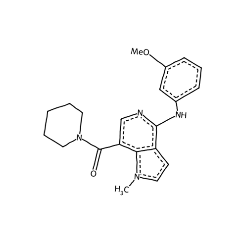 COc1cccc(Nc2ncc(C(=O)N3CCCCC3)c3c2ccn3C)c1